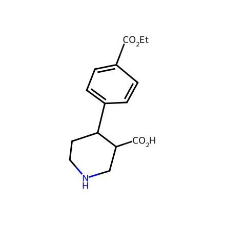 CCOC(=O)c1ccc(C2CCNCC2C(=O)O)cc1